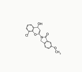 COc1ccc2c(c1)C(=O)N(C1=CC(O)c3cccc(Cl)c3O1)C2